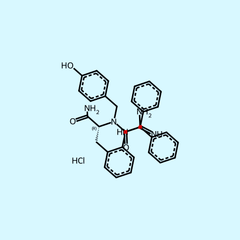 Cl.N=C(N)Nc1ccccc1C[C@H](C(N)=O)N(Cc1ccc(O)cc1)C(=O)C(c1ccccc1)c1ccccc1